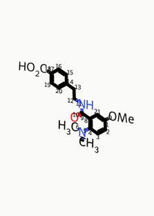 COc1ccc(N(C)C)c(C(=O)NCCc2ccc(C(=O)O)cc2)c1